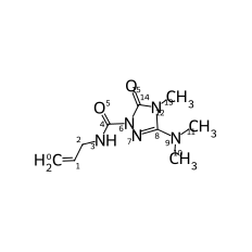 C=CCNC(=O)n1nc(N(C)C)n(C)c1=O